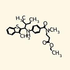 CCOC(=O)CCN(C)C(=O)c1ccc(NC(c2sc3ccccc3c2C)C(CC)CC)cc1